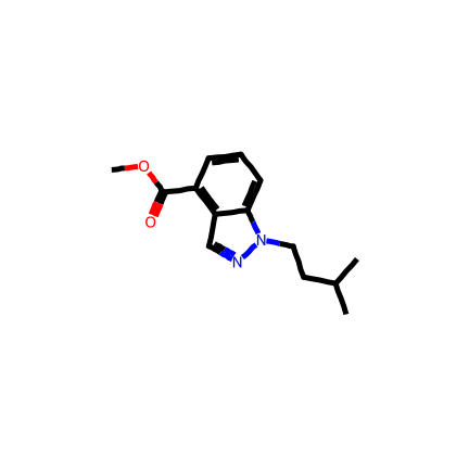 COC(=O)c1cccc2c1cnn2CCC(C)C